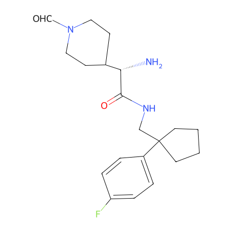 N[C@H](C(=O)NCC1(c2ccc(F)cc2)CCCC1)C1CCN(C=O)CC1